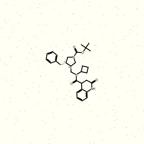 CC(C)(C)OC(=O)N1C[C@@H](Cc2ccccc2)[C@H](CN(C(=O)C2CC(=O)Nc3ccccc32)C2CCC2)C1